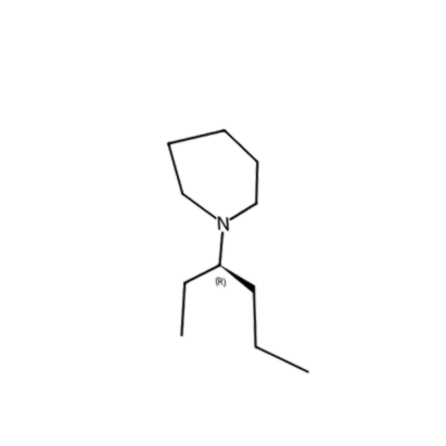 CCC[C@@H](CC)N1CCCCC1